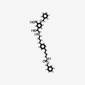 O=C(NCCCCc1ccc(CCCCNCC(O)c2ccc(OCc3ccccc3)c(CO)c2)cc1)OCc1ccccc1